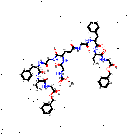 CC(C)CC(NC(=O)C(Cc1ccccc1)NC(=O)CNC(=O)CCC(NC(=O)CNC(=O)OC(C)(C)C)C(=O)NCC(=O)NC(Cc1ccccc1)C(=O)NC(CC(C)C)C(=O)NCC(=O)OCc1ccccc1)C(=O)NCC(=O)OCc1ccccc1